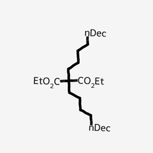 CCCCCCCCCCCCCCC(CCCCCCCCCCCCCC)(C(=O)OCC)C(=O)OCC